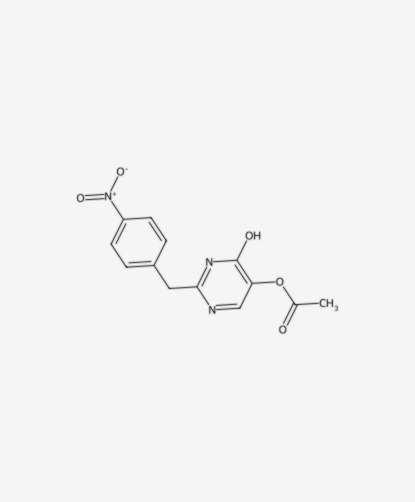 CC(=O)Oc1cnc(Cc2ccc([N+](=O)[O-])cc2)nc1O